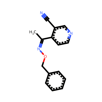 CC(=NOCc1ccccc1)c1ccncc1C#N